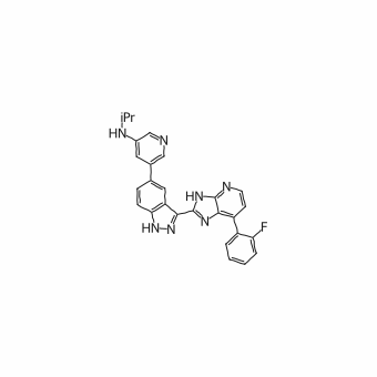 CC(C)Nc1cncc(-c2ccc3[nH]nc(-c4nc5c(-c6ccccc6F)ccnc5[nH]4)c3c2)c1